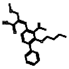 CCCCOc1c(-c2ccccc2)ccc(/C=C(/COC)C(=O)O)c1NC